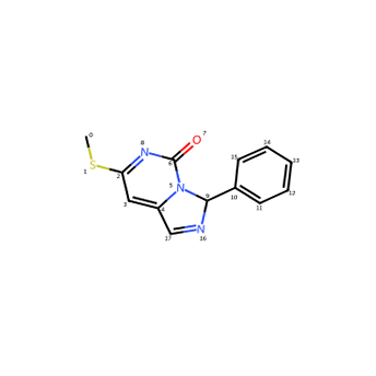 CSc1cc2n(c(=O)n1)C(c1ccccc1)N=C2